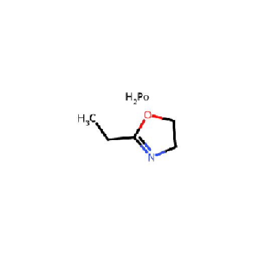 CCC1=NCCO1.[PoH2]